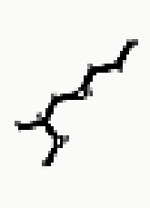 C[CH]COCC(C)OC